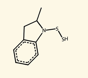 CC1Cc2ccccc2N1SS